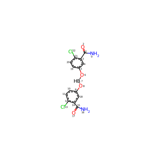 NC(=O)c1cc(OBOc2ccc(Cl)c(C(N)=O)c2)ccc1Cl